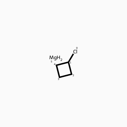 ClC1CCC1.[MgH2]